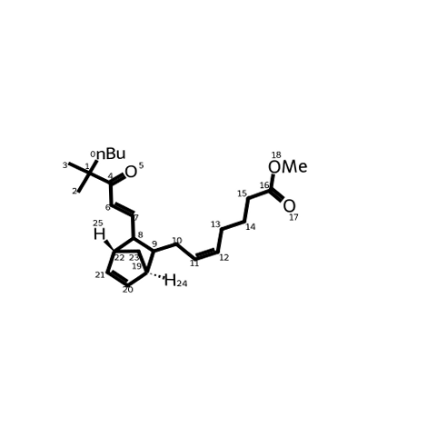 CCCCC(C)(C)C(=O)C=CC1C(C/C=C\CCCC(=O)OC)[C@H]2C=C[C@H]1C2